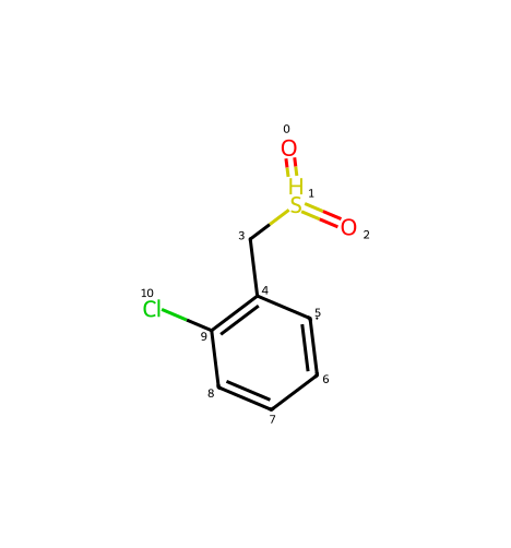 O=[SH](=O)Cc1[c]cccc1Cl